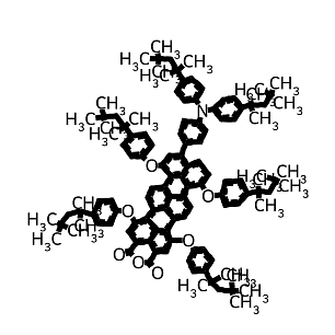 CC(C)(C)CC(C)(C)c1ccc(Oc2ccc3c(-c4ccc(N(c5ccc(C(C)(C)CC(C)(C)C)cc5)c5ccc(C(C)(C)CC(C)(C)C)cc5)cc4)cc(Oc4ccc(C(C)(C)CC(C)(C)C)cc4)c4c5ccc6c7c(Oc8ccc(C(C)(C)CC(C)(C)C)cc8)cc8c9c(cc(Oc%10ccc(C(C)(C)CC(C)(C)C)cc%10)c(c%10ccc(c2c34)c5c%106)c97)C(=O)OC8=O)cc1